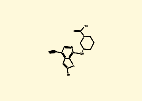 N#Cc1cnc(N[C@H]2CCCN(C(=O)O)C2)c2sc(Br)cc12